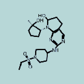 CCS(=O)(=O)N1CCC(Nc2ncc3c(n2)N([C@@H]2CCC[C@@]2(C)O)C(O)CC3)CC1